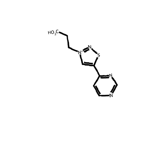 O=C(O)CC[n+]1cc(-c2ccncn2)sn1